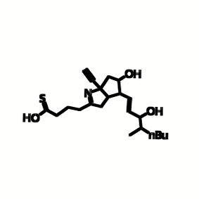 C#CC12CC(O)C(C=CC(O)C(C)CCCC)C1CC(CCCC(O)=S)=N2